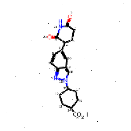 O=C1CCC(c2ccc3nn(C4CCC(C(=O)O)CC4)cc3c2)C(=O)N1